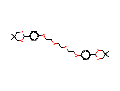 CC1(C)COC(c2ccc(OCCOCCOCCOc3ccc(C4OCC(C)(C)CO4)cc3)cc2)OC1